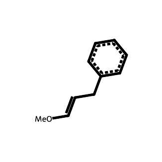 COC=CCc1ccccc1